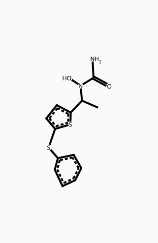 CC(c1ccc(Sc2ccccc2)s1)N(O)C(N)=O